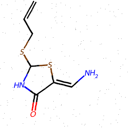 C=CCSC1NC(=O)C(=CN)S1